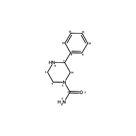 NC(=O)N1CCNC(c2ccccc2)C1